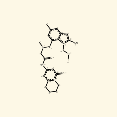 Cc1cc(SN(C)CC(=O)Nc2cc(=O)n3c(n2)CCCC3)c2c(c1)cc(C#N)n2SOI